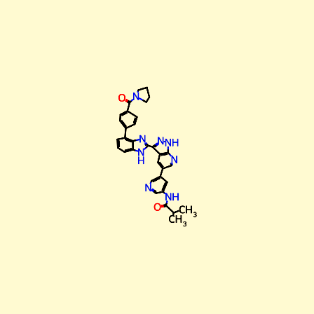 CC(C)C(=O)Nc1cncc(-c2cnc3[nH]nc(-c4nc5c(-c6ccc(C(=O)N7CCCC7)cc6)cccc5[nH]4)c3c2)c1